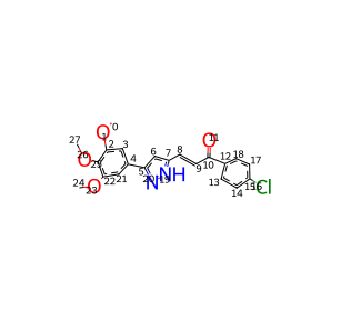 COc1cc(-c2cc(/C=C/C(=O)c3ccc(Cl)cc3)[nH]n2)cc(OC)c1OC